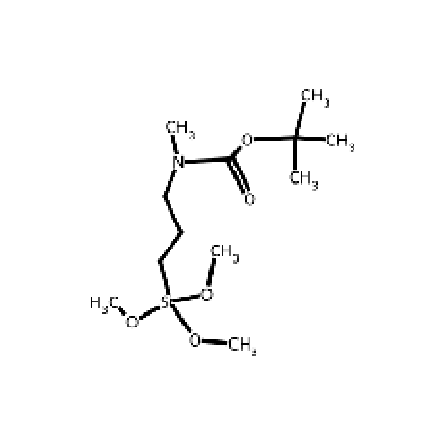 CO[Si](CCCN(C)C(=O)OC(C)(C)C)(OC)OC